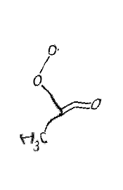 CC(=O)O[O]